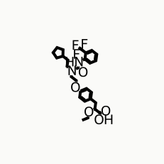 CCOC(Cc1ccc(OCCN(CCC2CCCC2)C(=O)Nc2ccccc2C(F)(F)F)cc1)C(=O)O